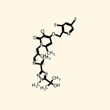 C\C=C(/N=C\C(C)=C\n1c(C)cc(OCc2ncc(F)cc2F)c(Cl)c1=O)c1nc(C(C)(C)O)n(C)n1